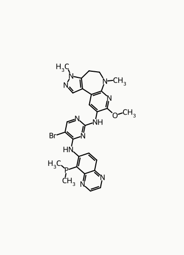 COc1nc2c(cc1Nc1ncc(Br)c(Nc3ccc4nccnc4c3P(C)C)n1)-c1cnn(C)c1CCN2C